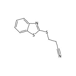 N#CCCSc1nc2ccccc2s1